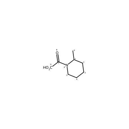 CC1CCCCN1C(=O)C(=O)O